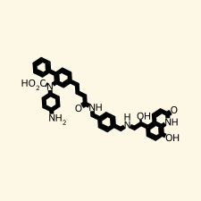 NC1CCC(N(C(=O)O)c2cc(CCCC(=O)NCc3ccc(CNC[C@@H](O)c4ccc(O)c5[nH]c(=O)ccc45)cc3)ccc2-c2ccccc2)CC1